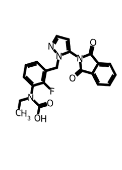 CCN(C(=O)O)c1cccc(Cn2nccc2N2C(=O)c3ccccc3C2=O)c1F